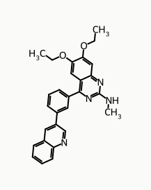 CCOc1cc2nc(NC)nc(-c3cccc(-c4cnc5ccccc5c4)c3)c2cc1OCC